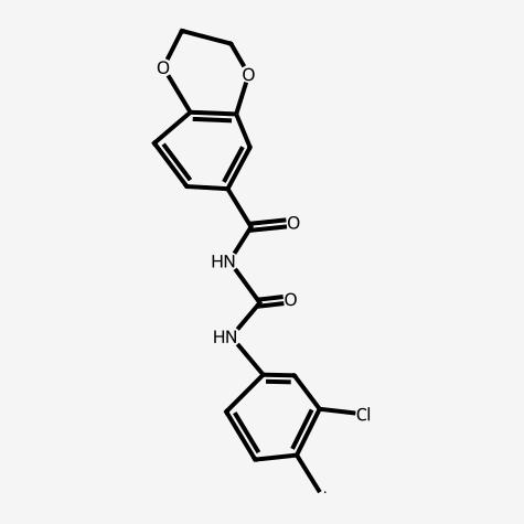 [CH2]c1ccc(NC(=O)NC(=O)c2ccc3c(c2)OCCO3)cc1Cl